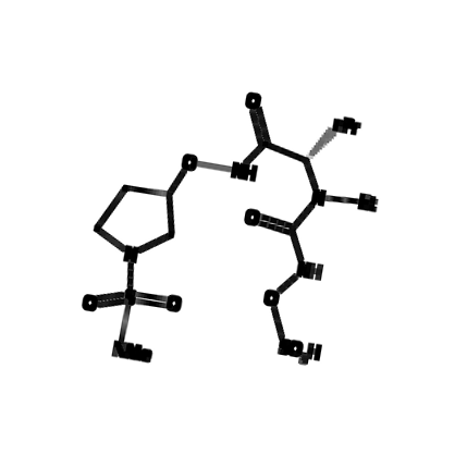 CCC[C@@H](C(=O)NOC1CCN(S(=O)(=O)NC)C1)N(CC)C(=O)NOS(=O)(=O)O